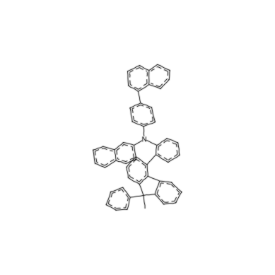 CC1(c2ccccc2)c2ccccc2-c2c(-c3ccccc3N(c3ccc(-c4cccc5ccccc45)cc3)c3ccc4ccccc4c3)cccc21